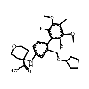 COc1c(C)c(OC)c(F)c(-c2ccc(NC3(C(=O)O)CCOCC3)cc2COC2CCCC2)c1F